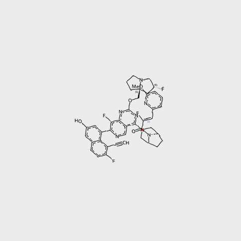 C#Cc1c(F)ccc2cc(O)cc(-c3ncc4c(N5CC6CCC(C5)N6C(=O)/C(F)=C/c5cccc(OC)n5)nc(OC[C@@]56CCCN5C[C@H](F)C6)nc4c3F)c12